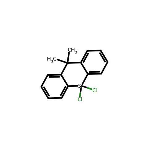 CC1(C)c2ccccc2[Si](Cl)(Cl)c2ccccc21